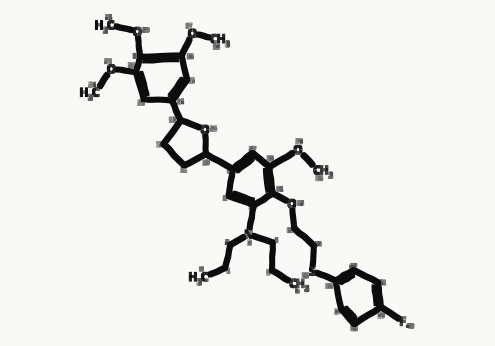 CCCN(CCC)c1cc(C2CCC(c3cc(OC)c(OC)c(OC)c3)O2)cc(OC)c1OCCSc1ccc(F)cc1